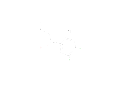 O=C([O-])CCC(O)c1ccc(Cl)c(Cl)c1.[Na+]